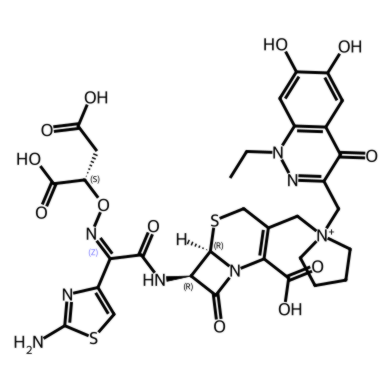 CCn1nc(C[N+]2(CC3=C(C(=O)O)N4C(=O)[C@@H](NC(=O)/C(=N\O[C@@H](CC(=O)O)C(=O)O)c5csc(N)n5)[C@H]4SC3)CCCC2)c(=O)c2cc(O)c(O)cc21